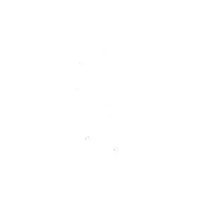 Clc1cccc(Cl)c1C/C=C/c1ncc[nH]1